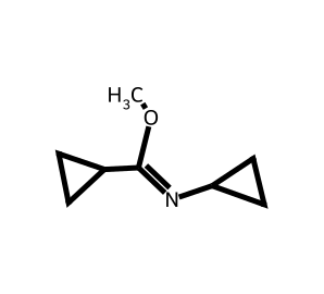 COC(=NC1CC1)C1CC1